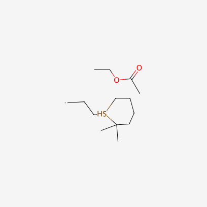 CCOC(C)=O.[CH2]CC[SH]1CCCCC1(C)C